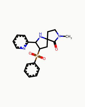 CN1CCC2(CC(S(=O)(=O)c3ccccc3)C(c3ccccn3)N2)C1=O